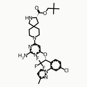 Cc1ccn(-c2cc(Cl)ccc2[C@@H](Oc2cc(N3CCC4(CC3)CN[C@H](C(=O)OCC(C)(C)C)C4)nc(N)n2)C(F)(F)F)n1